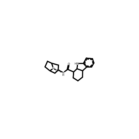 CN1C2CCC1CC(NC(=O)C1CCCC3c4ccccc4NC13)C2